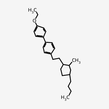 CCCCC1CCC(CCc2ccc(-c3ccc(OCC)cc3)cc2)C(C)C1